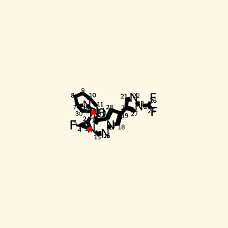 O=[PH](C1C[C@H]1F)N1C2CCC1CN(c1ncnn3cc(-c4cnn(C(F)F)c4)cc13)C2